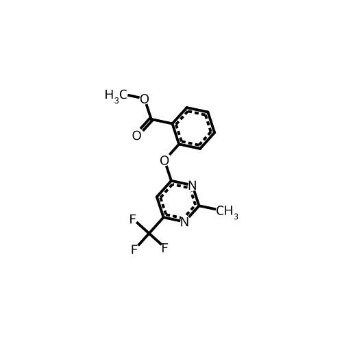 COC(=O)c1ccccc1Oc1cc(C(F)(F)F)nc(C)n1